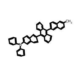 Cc1ccc2cc(-c3c4ccccc4c(-c4ccc5cc(N(c6ccccc6)c6ccccc6)ccc5c4)c4ccccc34)ccc2c1